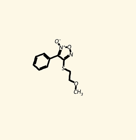 COCCSc1no[n+]([O-])c1-c1ccccc1